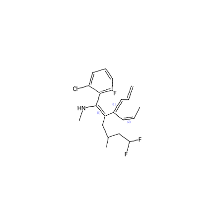 C=C/C=C(\C=C/C)C(/CC(C)CC(F)F)=C(/NC)c1c(F)cccc1Cl